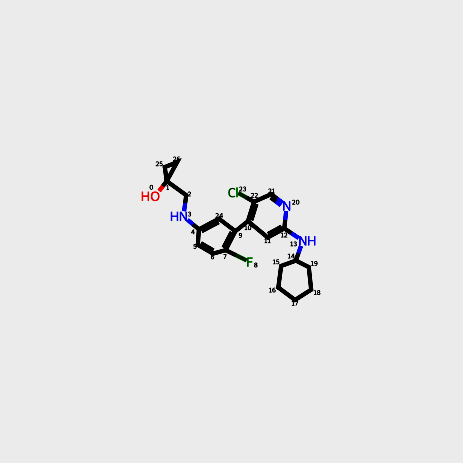 OC1(CNc2ccc(F)c(-c3cc(NC4CCCCC4)ncc3Cl)c2)CC1